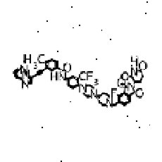 Cc1ccc(C(=O)Nc2ccc(N3CCN(C4CCN(Cc5ccc6c(c5F)C(=O)N(C5CCC(=O)NC5=O)C6=O)CC4)CC3)c(C(F)(F)F)c2)cc1C#Cc1cnc2cccnn12